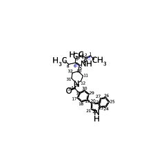 C/C=C(/C)N/C(=C(\C)CC)C1CCN(C(=O)c2ccc(-c3c[nH]c4ccccc34)cc2)CC1